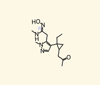 CCC1(c2cnn(C)c2C/C(=N/O)NC)CC1CC(C)=O